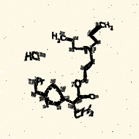 C=CCN(C=CCOC(=O)C(C)c1ccc(CC(C)C)cc1)CC=C.Cl